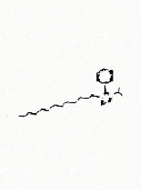 CCCCCCCCCCCCC[n+]1ccn(C(C)C)c1-c1ccccc1